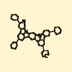 c1ccc(-c2ccc3c(c2)c2cc(-c4ccccc4)cc4c5cc6c7cc(-c8ccccc8)cc8c9cc(-c%10ccccc%10)ncc9n(c6cc5n3c24)c87)cc1